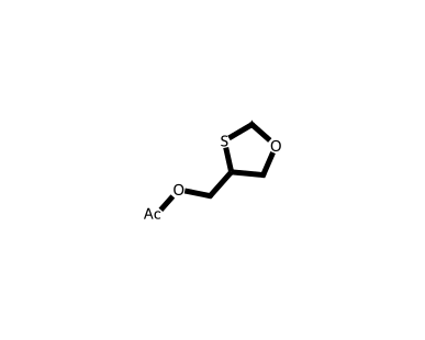 CC(=O)OCC1CO[CH]S1